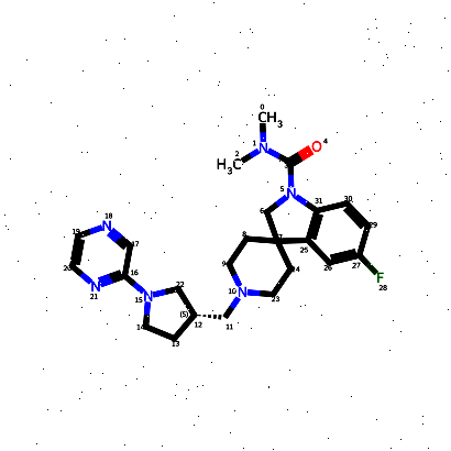 CN(C)C(=O)N1CC2(CCN(C[C@@H]3CCN(c4cnccn4)C3)CC2)c2cc(F)ccc21